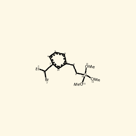 CCC(Br)c1cccc(CC[Si](OC)(OC)OC)c1